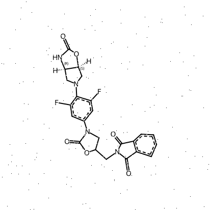 O=C1N[C@@H]2CN(c3c(F)cc(N4CC(CN5C(=O)c6ccccc6C5=O)OC4=O)cc3F)C[C@@H]2O1